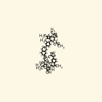 COC(=O)C[C@@H]1N=C(c2ccc(N3CCc4ccc(OCC(=O)NC(C(=O)N5C[C@H](O)C[C@H]5C(=O)N[C@@H](C)c5ccc(-c6scnc6C)cc5)C(C)(C)C)cc4C3)cc2)c2c(sc(C)c2C)-n2c(C)nnc21